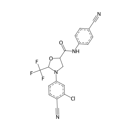 N#Cc1ccc(NC(=O)C2CN(c3ccc(C#N)c(Cl)c3)C(C(F)(F)F)O2)cc1